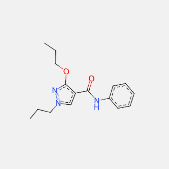 CCCOc1nn(CCC)cc1C(=O)Nc1ccccc1